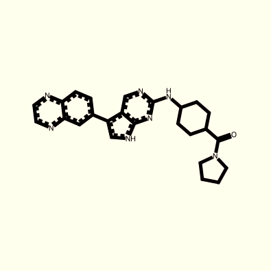 O=C(C1CCC(Nc2ncc3c(-c4ccc5nccnc5c4)c[nH]c3n2)CC1)N1CCCC1